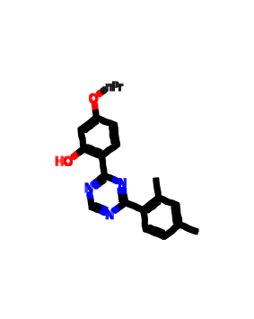 CCCOc1ccc(-c2ncnc(-c3ccc(C)cc3C)n2)c(O)c1